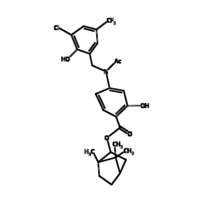 CC(=O)N(Cc1cc(C(F)(F)F)cc(Cl)c1O)c1ccc(C(=O)OC2CC3CCC2(C)C3(C)C)c(O)c1